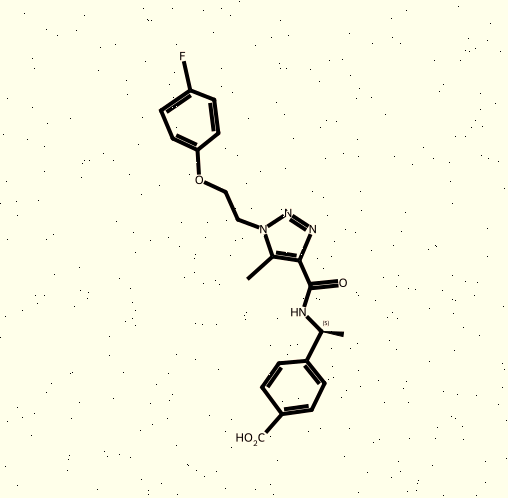 Cc1c(C(=O)N[C@@H](C)c2ccc(C(=O)O)cc2)nnn1CCOc1ccc(F)cc1